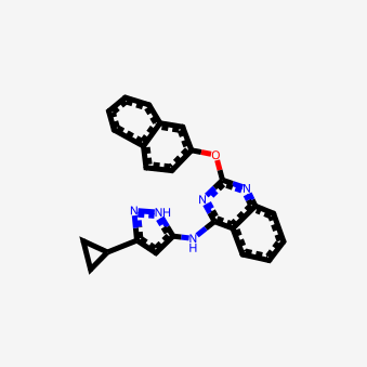 c1ccc2cc(Oc3nc(Nc4cc(C5CC5)n[nH]4)c4ccccc4n3)ccc2c1